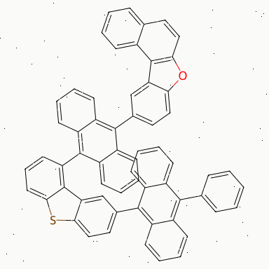 c1ccc(-c2c3ccccc3c(-c3ccc4sc5cccc(-c6c7ccccc7c(-c7ccc8oc9ccc%10ccccc%10c9c8c7)c7ccccc67)c5c4c3)c3ccccc23)cc1